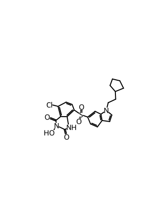 O=c1[nH]c2c(S(=O)(=O)c3ccc4ccn(CCC5CCCC5)c4c3)ccc(Cl)c2c(=O)n1O